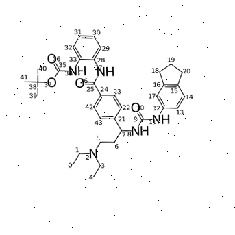 CCN(CC)CCC(NC(=O)Nc1ccc2c(c1)CCC2)c1ccc(C(=O)Nc2ccccc2NC(=O)OC(C)(C)C)cc1